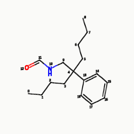 CCCCC(CCCC)(CNC=O)c1ccccc1